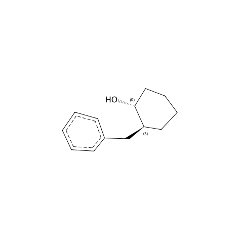 O[C@@H]1CCCC[C@H]1Cc1ccccc1